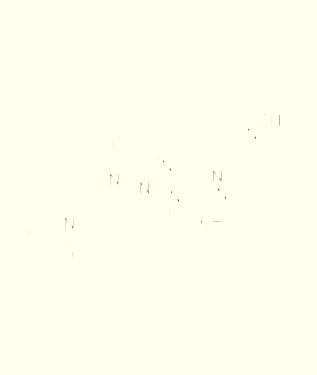 Cc1nn(C2CCN(C)CC2)cc1Nc1ncc(Cl)c(NCCCN2CCOCC2=O)n1